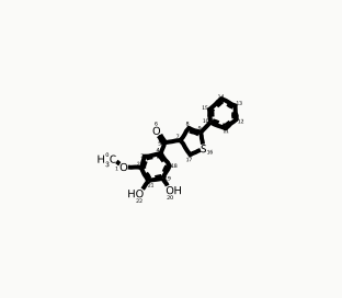 COc1cc(C(=O)C2C=C(c3ccccc3)SC2)cc(O)c1O